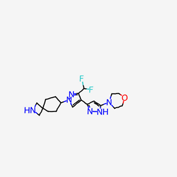 FC(F)c1nn(C2CCC3(CC2)CNC3)cc1-c1cc(N2CCOCC2)[nH]n1